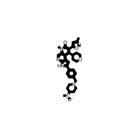 Cc1cc(-c2c(C3CCOCC3)c3c4cc(-c5ccc(CN6CCC([S+](C)[O-])CC6)cc5)[nH]c4ncc3n(C)c2=O)on1